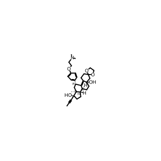 CC#C[C@]1(O)CC[C@H]2[C@@H]3CC[C@@]4(O)CC5(CCC4=C3[C@@H](c3ccc(OCCN(C)C)cc3)C[C@@]21C)OCCO5